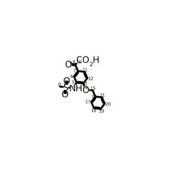 CS(=O)(=O)Nc1cc(C(=O)C(=O)O)ccc1OCc1ccccc1